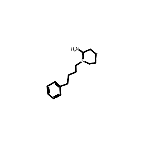 NC1C[CH]CCN1CCCCc1ccccc1